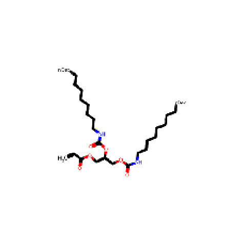 C=CC(=O)OCC(COC(=O)NCCCCCCCCCCCCCCCCCC)OC(=O)NCCCCCCCCCCCCCCCCCC